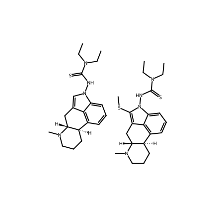 CCN(CC)C(=S)Nn1c(SC)c2c3c(cccc31)[C@H]1CCCN(C)[C@@H]1C2.CCN(CC)C(=S)Nn1cc2c3c(cccc31)[C@H]1CCCN(C)[C@@H]1C2